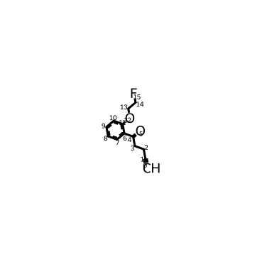 C#CCCC(=O)c1ccccc1OCCF